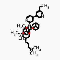 C=C(C1CCC(CCCN(C)C)CC1)N(CC1C2CC1CN(c1ccc(N(C)C)cc1)C2)c1cc(-c2cncc(CC)c2)ccn1